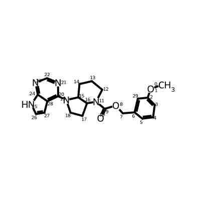 COc1cccc(COC(=O)N2CCCC3C2CCN3c2ncnc3[nH]ccc23)c1